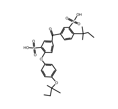 CCC(C)(C)Oc1ccc(Oc2ccc(C(=O)c3ccc(C(C)(C)CC)c(S(=O)(=O)O)c3)cc2S(=O)(=O)O)cc1